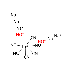 N#[C][Fe-3]([C]#N)([C]#N)([C]#N)([C]#N)[N]=O.[Na+].[Na+].[Na+].[Na+].[Na+].[OH-].[OH-]